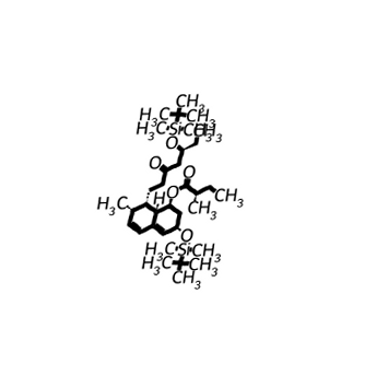 CC[C@@H](CC(=O)CC[C@@H]1[C@@H]2C(=C[C@@H](O[Si](C)(C)C(C)(C)C)C[C@@H]2OC(=O)[C@@H](C)CC)C=C[C@@H]1C)O[Si](C)(C)C(C)(C)C